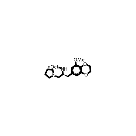 CCCCCCCCN[C@@H](Cc1cc(OC)c2c(c1)OCCO2)CN1CCCC1